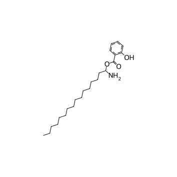 CCCCCCCCCCCCCCCC(N)OC(=O)c1ccccc1O